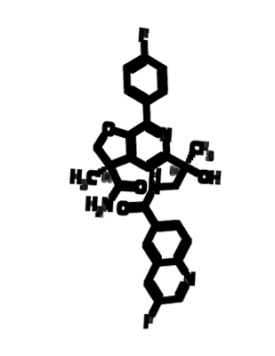 C[C@]1(C(N)=O)COc2c1cc([C@@](O)(CNC(=O)c1ccc3ncc(F)cc3c1)C(F)(F)F)nc2-c1ccc(F)cc1